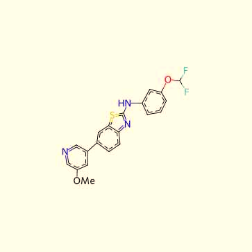 COc1cncc(-c2ccc3nc(Nc4cccc(OC(F)F)c4)sc3c2)c1